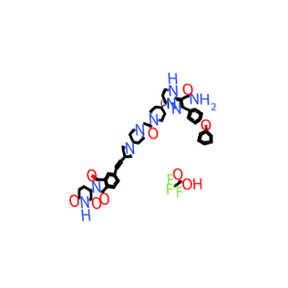 NC(=O)c1c(-c2ccc(Oc3ccccc3)cc2)nn2c1NCC[C@H]2C1CCN(C(=O)CN2CCC(N3CC(C#Cc4ccc5c(c4)C(=O)N(C4CCC(=O)NC4=O)C5=O)C3)CC2)CC1.O=C(O)C(F)(F)F